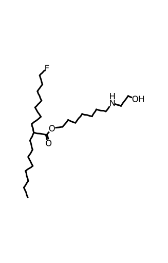 CCCCCCCCC(CCCCCCCF)C(=O)OCCCCCCCNCCO